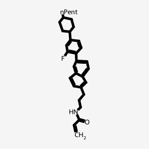 C=CC(=O)NCCCc1ccc2cc(-c3ccc(C4CCC(CCCCC)CC4)cc3F)ccc2c1